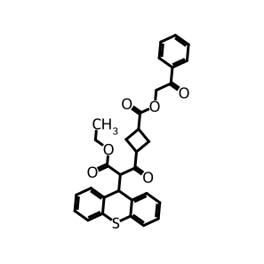 CCOC(=O)C(C(=O)C1CC(C(=O)OCC(=O)c2ccccc2)C1)C1c2ccccc2Sc2ccccc21